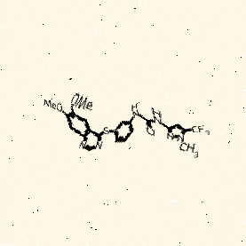 COc1cc2ncnc(Sc3cccc(NC(=O)Nc4cc(C(F)(F)F)n(C)n4)c3)c2cc1OC